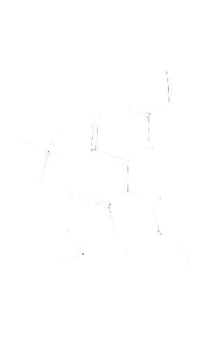 CCC(=O)OC(C(=O)OC(C)(C)C)C(OC(=O)CC)C(=O)OC(C)(C)C